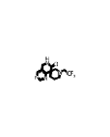 O=C1NCc2cncnc2C12CCCN(CC(F)(F)F)C2